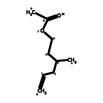 C=CCC(C)CCOC(C)=O